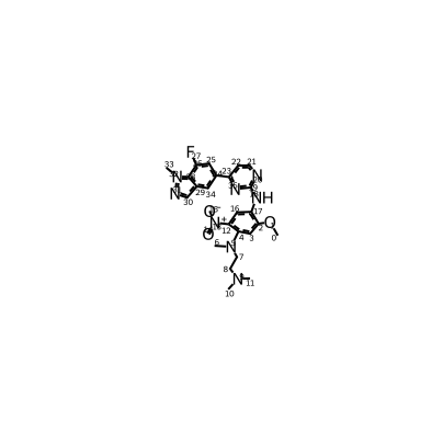 COc1cc(N(C)CCN(C)C)c([N+](=O)[O-])cc1Nc1nccc(-c2cc(F)c3c(cnn3C)c2)n1